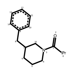 CC(C)C(=O)N1CCCC(Cc2ccccc2)C1